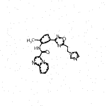 Cc1ccc(-c2noc(CCn3ccnc3)n2)cc1NC(=O)c1cnc2ccccn12